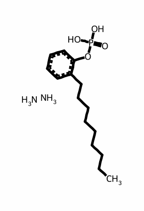 CCCCCCCCCc1ccccc1OP(=O)(O)O.N.N